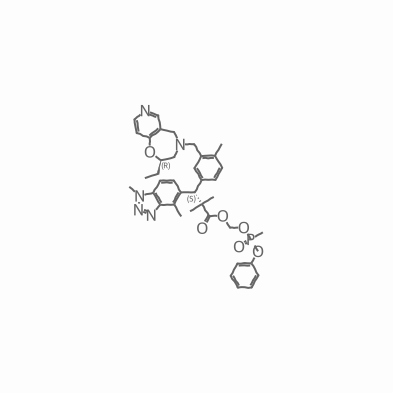 CC[C@@H]1CN(Cc2cc([C@@H](c3ccc4c(nnn4C)c3C)C(C)(C)C(=O)OCOP(C)(=O)Oc3ccccc3)ccc2C)Cc2cnccc2O1